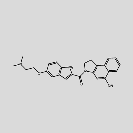 CN(C)CCOc1ccc2[nH]c(C(=O)N3CCc4c3cc(O)c3ccccc43)cc2c1